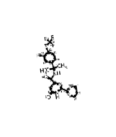 CC(C)(NC(=O)c1cc(=O)[nH]c(-c2ncccn2)n1)c1ccc(SC(F)(F)F)c(F)c1